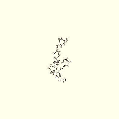 CCOC(=O)/C=C/C1(C(=O)OCc2ccccc2)CC2CCC(NS(=O)(=O)c3ccc(Oc4ccc(F)cc4)cc3)(C1)O2